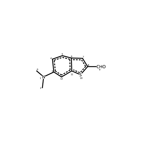 CN(C)c1ccc2cc(C=O)sc2c1